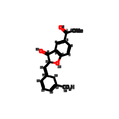 COC(=O)c1ccc2c(c1)C(=O)C(C=C1C=CC=C(C(=O)O)C1)O2